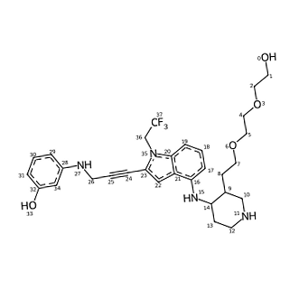 OCCOCCOCCC1CNCCC1Nc1cccc2c1cc(C#CCNc1cccc(O)c1)n2CC(F)(F)F